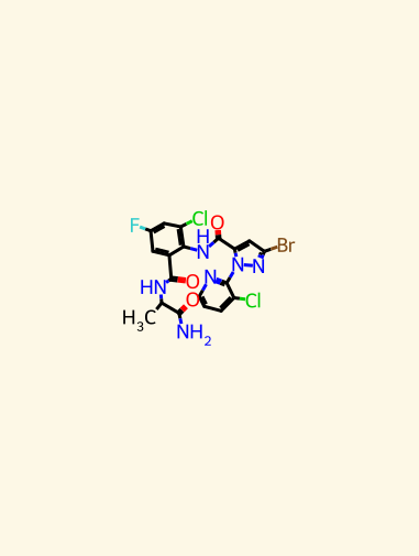 CC(NC(=O)c1cc(F)cc(Cl)c1NC(=O)c1cc(Br)nn1-c1ncccc1Cl)C(N)=O